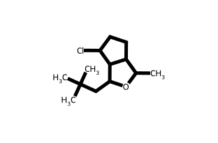 CC1OC(CC(C)(C)C)C2C(Cl)CCC12